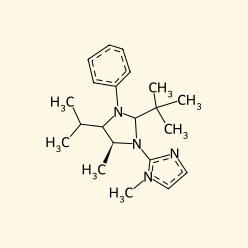 CC(C)C1[C@H](C)N(c2nccn2C)C(C(C)(C)C)N1c1ccccc1